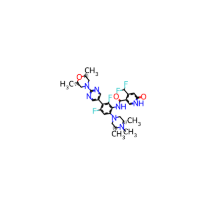 C[C@@H]1CN(c2ncc(-c3c(F)cc(N4C[C@@H](C)N(C)[C@@H](C)C4)c(NC(=O)c4c[nH]c(=O)cc4C(F)F)c3F)cn2)C[C@H](C)O1